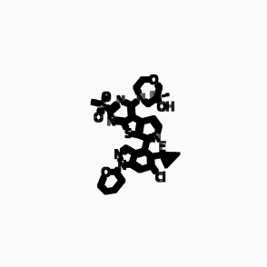 C[C@@]1(O)COCCN(c2nc(S(C)(=O)=O)nc3sc4c(-c5c(C6(F)CC6)c(Cl)cc6c5cnn6C5CCCCO5)nccc4c23)C1